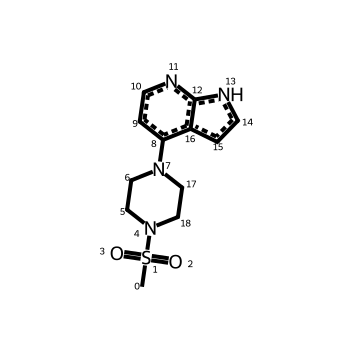 CS(=O)(=O)N1CCN(c2ccnc3[nH]ccc23)CC1